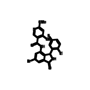 COc1cc(C)c(C(=O)Nc2cc(Br)cc3c2C(c2cc(F)ccc2Cl)NC3=O)cn1